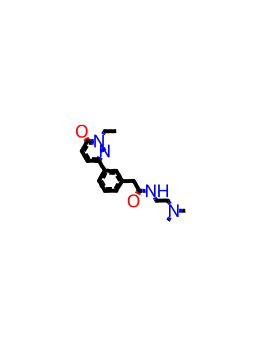 CCn1nc(-c2cccc(CC(=O)NCCN(C)C)c2)ccc1=O